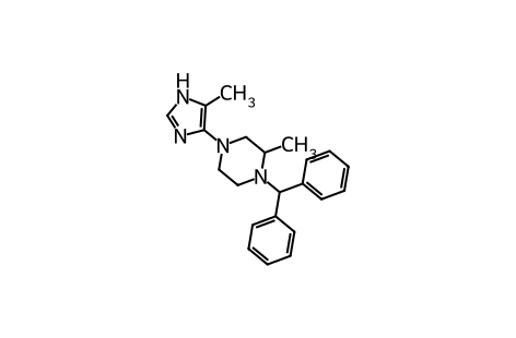 Cc1[nH]cnc1N1CCN(C(c2ccccc2)c2ccccc2)C(C)C1